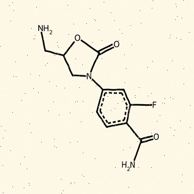 NCC1CN(c2ccc(C(N)=O)c(F)c2)C(=O)O1